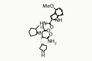 COc1cccc2[nH]c(C(=O)N[C@@H](CC3CCCCC3)C(=O)N[C@@H](C[C@@H]3CCNC3)C(N)=O)cc12